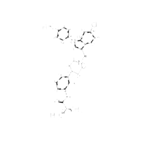 Cc1ccc(-n2cc(CN3CCC(c4cccc(CC(=O)C(C)C)c4)CC3)c3ccc(Cl)cc32)cc1